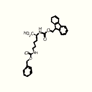 O=C(NCCCC[C@H](NC(=O)OCC1C2=C(C=CCC2)c2ccccc21)C(=O)O)OCc1ccccc1